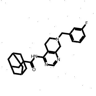 O=C(Nc1ncnc2c1CCN(Cc1cccc(F)c1)C2)C12CC3CC(CC(C3)C1)C2